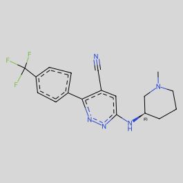 CN1CCC[C@@H](Nc2cc(C#N)c(-c3ccc(C(F)(F)F)cc3)nn2)C1